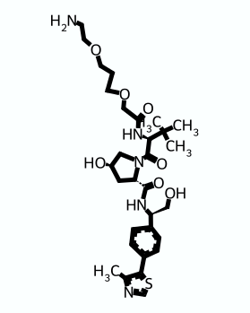 Cc1ncsc1-c1ccc([C@H](CO)NC(=O)[C@@H]2C[C@@H](O)CN2C(=O)[C@@H](NC(=O)COCCCOCCN)C(C)(C)C)cc1